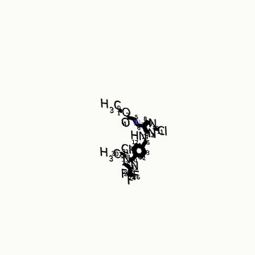 CCOC(=O)/C=C/c1cnc(Cl)nc1NCc1ccc(-c2nc(C(F)(F)F)cn2C(C)C)cc1